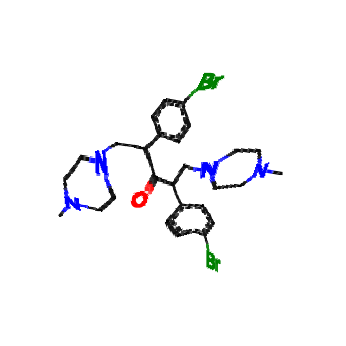 CN1CCN(CC(C(=O)C(CN2CCN(C)CC2)c2ccc(Br)cc2)c2ccc(Br)cc2)CC1